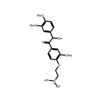 CCC[SiH](CCC)CCOc1ccc(C(=O)C(O)c2ccc(OC)c(OC)c2)cc1OC